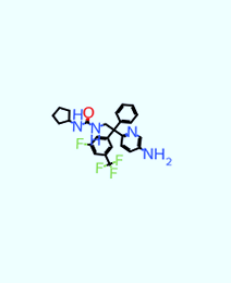 Nc1ccc(C(CNC(=O)NC2CCCC2)(c2ccccc2)c2cc(F)cc(C(F)(F)F)c2)nc1